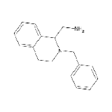 NCC1c2ccccc2CCN1Cc1ccccc1